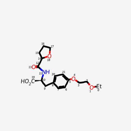 CCOCCOc1ccc(C[C@H](NC(=O)C2CCCO2)C(=O)O)cc1